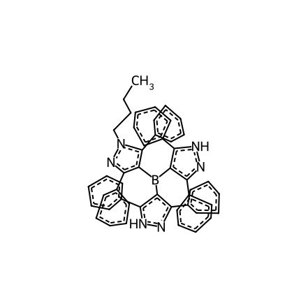 CCCCn1nc(-c2ccccc2)c(B(c2c(-c3ccccc3)n[nH]c2-c2ccccc2)c2c(-c3ccccc3)n[nH]c2-c2ccccc2)c1-c1ccccc1